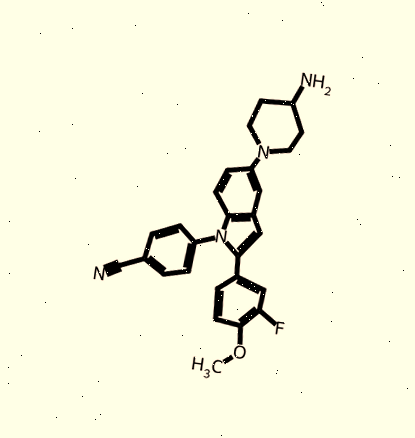 COc1ccc(-c2cc3cc(N4CCC(N)CC4)ccc3n2-c2ccc(C#N)cc2)cc1F